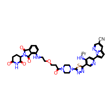 CC(C)Nc1cc(-c2ccc3cc(C#N)cnn23)ncc1-c1nnc(N2CCN(C(=O)CCOCCNc3cccc4c3C(=O)N(C3CCC(=O)NC3=O)C4=O)CC2)s1